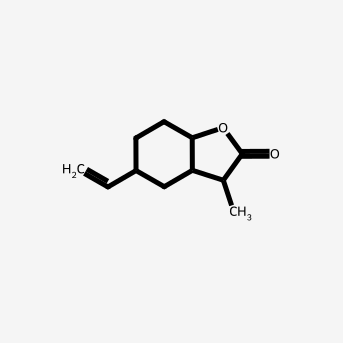 C=CC1CCC2OC(=O)C(C)C2C1